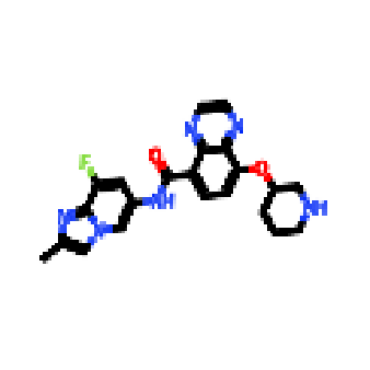 Cc1cn2cc(NC(=O)c3ccc(OC4CCCNC4)c4nccnc34)cc(F)c2n1